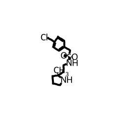 C[C@@]1(CCNS(=O)(=O)Cc2ccc(Cl)cc2)CCCN1